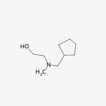 CN(CCO)CC1CCCC1